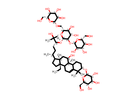 CC[C@@]12CCC([C@H](C)CC[C@@H](O[C@@H]3O[C@H](CO[C@@H]4O[C@H](CO)[C@@H](O)[C@H](O)[C@H]4O)[C@@H](O)[C@H](O)[C@H]3O[C@@H]3O[C@H](CO)[C@@H](O)[C@H](O)[C@H]3O)C(C)(C)O)[C@@]1(C)C[C@@H](O)[C@@]1(C)C3CC[C@H](O[C@@H]4O[C@H](CO)[C@@H](O)[C@H](O)[C@H]4O)C(C)(C)C3=CCC12